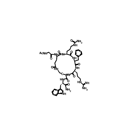 CC(=O)NCC(=O)NC1CCC(=O)NCCC(C(=O)N[C@@H](Cc2c[nH]c3ccccc23)C(N)=O)NC(=O)[C@H](CCCNC(=N)N)NC(=O)C(Cc2ccccc2)NC(=O)[C@H](CCCNC(N)=O)NC1=O